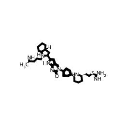 C[C@H](N)CCCN1C(c2cc3cn(-c4ccc([C@@H]5CCC[C@@H](CCSC(=N)N)N5)cc4)c(=O)nc3[nH]2)C[C@H]2CCCC[C@@H]21